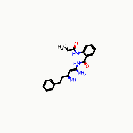 C=CC(=O)Nc1ccccc1C(=O)N/C(N)=C/C(=N)CCc1ccccc1